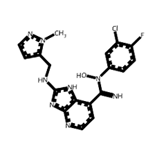 Cn1nccc1CNc1nc2nccc(C(=N)N(O)c3ccc(F)c(Cl)c3)c2[nH]1